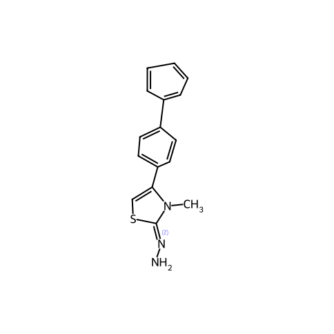 Cn1c(-c2ccc(-c3ccccc3)cc2)cs/c1=N\N